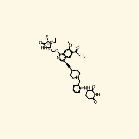 CC[C@@H]1[C@H](F)C(=O)N[C@@H]1COc1ncc(C#CC2CCN(Cc3ccccc3NC3CCC(=O)NC3=O)CC2)c2cc(C(N)=O)c(OC)cc12